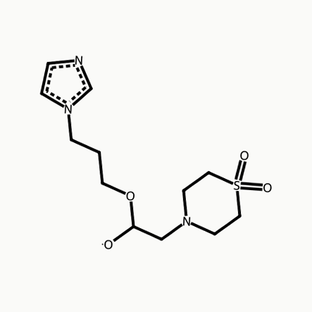 [O]C(CN1CCS(=O)(=O)CC1)OCCCn1ccnc1